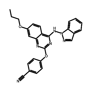 CCCOc1ccc2c(Nn3ncc4ccccc43)nc(Oc3ccc(C#N)cc3)nc2c1